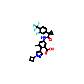 Cc1cc(NC(=O)C2(c3ccc(C(F)(F)F)c(F)c3)CC2)cc(C(=O)O)c1-c1cnn(C2CCC2)c1